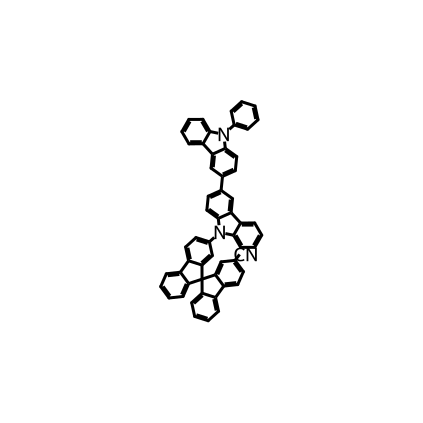 N#Cc1ccc2c(c1)C1(c3ccccc3-2)c2ccccc2-c2ccc(-n3c4ccccc4c4cc(-c5ccc6c(c5)c5ccccc5n6-c5ccccc5)ccc43)cc21